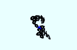 CC1(C)c2ccccc2-c2ccc(-c3ccc(N(c4ccc(-c5cccc6c5C(C)(C)c5ccccc5-6)cc4)c4cccc5ccccc45)cc3)cc21